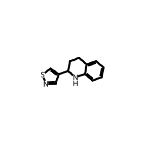 c1ccc2c(c1)CCC(c1cnsc1)N2